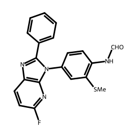 CSc1cc(-n2c(-c3ccccc3)nc3ccc(F)nc32)ccc1NC=O